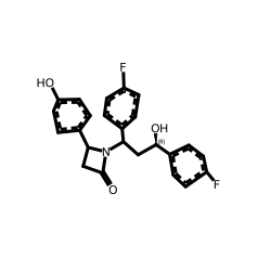 O=C1CC(c2ccc(O)cc2)N1C(C[C@@H](O)c1ccc(F)cc1)c1ccc(F)cc1